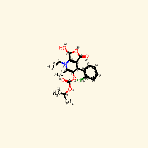 CCN1C(C)=C(OC(=O)OC(C)C)C(c2ccccc2Cl)C2=C1C(O)OC2=O